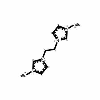 CCCCn1cc[n+](CC[n+]2ccn(CCCC)c2)c1